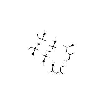 CC(C#N)CC(C)CN=NCC(C)CC(C)C#N.CC(C)(C#N)N=NC(C)(C)C#N.CCC(C)(C#N)N=NC(C)(C#N)CC